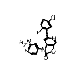 Nc1cc(-n2c(=O)oc3cnc(-c4cc(Cl)ccc4F)cc32)ccn1